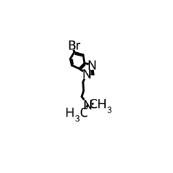 CN(C)CCCn1cnc2cc(Br)ccc21